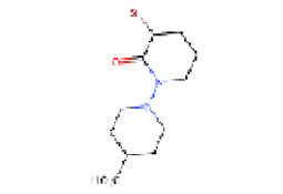 O=C(O)C1CCN(N2CCCC(Br)C2=O)CC1